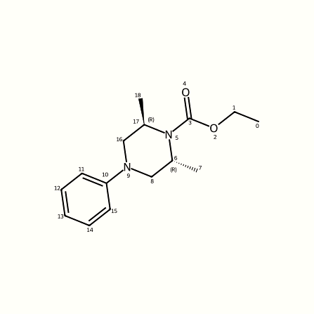 CCOC(=O)N1[C@H](C)CN(c2ccccc2)C[C@H]1C